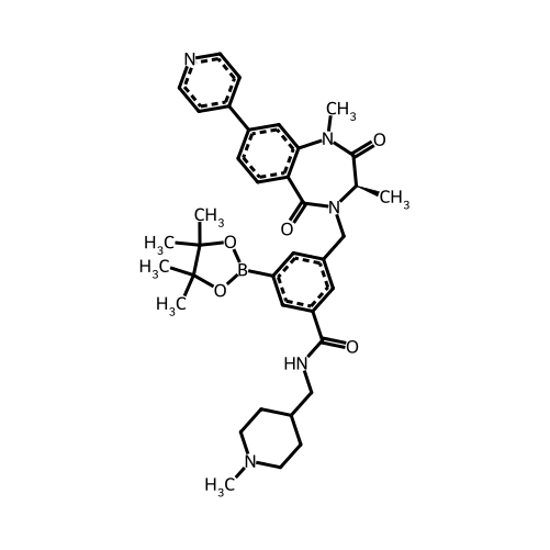 C[C@@H]1C(=O)N(C)c2cc(-c3ccncc3)ccc2C(=O)N1Cc1cc(B2OC(C)(C)C(C)(C)O2)cc(C(=O)NCC2CCN(C)CC2)c1